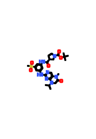 CC(C)N1CC(=O)N(C)c2cnc(Nc3cc(NC(=O)[C@H]4CCN(C(=O)OC(C)(C)C)C4)cc(S(C)(=O)=O)c3)nc21